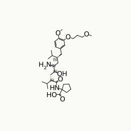 COCCCOc1cc(C[C@@H](C[C@H](N)[C@@H](O)C[C@H](C(=O)NC2(C(=O)O)CCCC2)C(C)C)C(C)C)ccc1OC